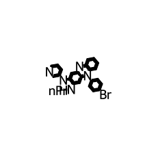 CCCN=c1cc2n(-c3ccc(Br)cc3)c3ccccc3nc-2cc1Nc1cccnc1